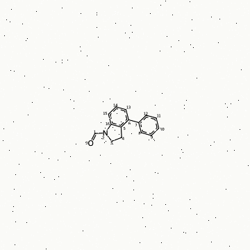 O=CN1CCc2c(-c3ccccc3)cccc21